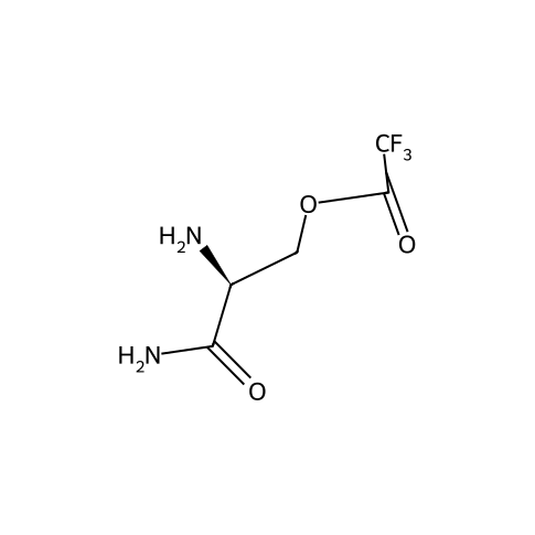 NC(=O)[C@@H](N)COC(=O)C(F)(F)F